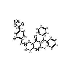 Cc1nc2c(c(=O)n1C(c1ccccc1)c1ccccc1)CN(Cc1ccc(C(=O)OC(C)(C)C)cc1F)CC2